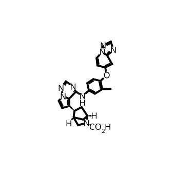 Cc1cc(Nc2ncnn3ccc([C@H]4C[C@H]5C[C@@H]4CN5C(=O)O)c23)ccc1Oc1ccn2ncnc2c1